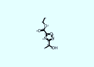 CCOC(=O)c1nc(C(C)O)no1